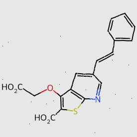 O=C(O)COc1c(C(=O)O)sc2ncc(/C=C/c3ccccc3)cc12